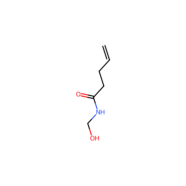 C=CCCC(=O)NCO